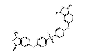 O=C1OC(=O)c2cc(Sc3ccc(S(=O)(=O)c4ccc(Sc5ccc6c(c5)C(=O)OC6O)cc4)cc3)ccc21